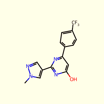 Cn1cc(-c2nc(O)cc(-c3ccc(C(F)(F)F)cc3)n2)cn1